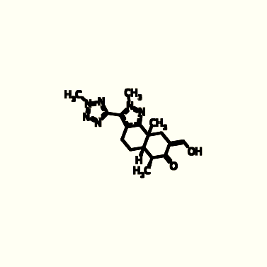 C[C@@H]1C(=O)/C(=C\O)CC2(C)c3nn(C)c(-c4nnn(C)n4)c3CC[C@@H]12